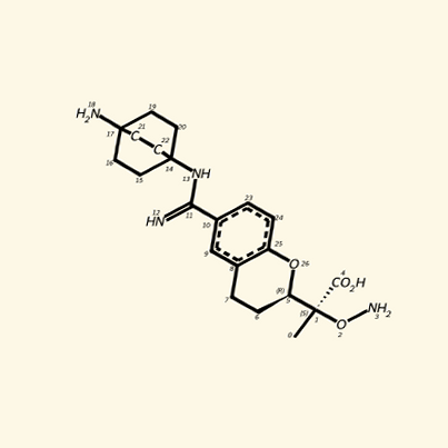 C[C@@](ON)(C(=O)O)[C@H]1CCc2cc(C(=N)NC34CCC(N)(CC3)CC4)ccc2O1